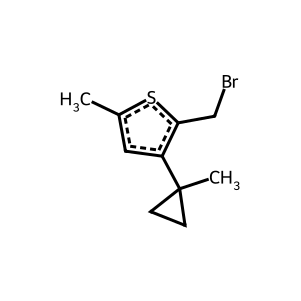 Cc1cc(C2(C)CC2)c(CBr)s1